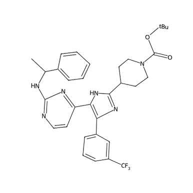 CC(Nc1nccc(-c2[nH]c(C3CCN(C(=O)OC(C)(C)C)CC3)nc2-c2cccc(C(F)(F)F)c2)n1)c1ccccc1